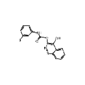 O=C(Nc1cccc(F)c1)Oc1nnc2ccccc2c1O